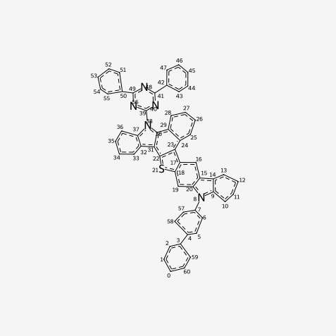 c1ccc(-c2ccc(-n3c4ccccc4c4cc5c(cc43)sc3c5c4ccccc4c4c3c3ccccc3n4-c3nc(-c4ccccc4)nc(-c4ccccc4)n3)cc2)cc1